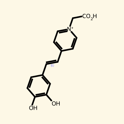 O=C(O)C[n+]1ccc(/C=C/c2ccc(O)c(O)c2)cc1